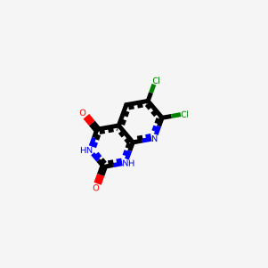 O=c1[nH]c(=O)c2cc(Cl)c(Cl)nc2[nH]1